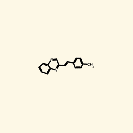 Cc1ccc(/C=C/c2cnc3ccccc3n2)cc1